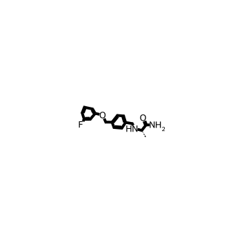 C[C@H](NCc1ccc(COc2cccc(F)c2)cc1)C(N)=O